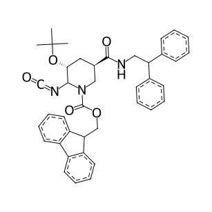 CC(C)(C)O[C@@H]1C[C@@H](C(=O)NCC(c2ccccc2)c2ccccc2)CN(C(=O)OCC2c3ccccc3-c3ccccc32)C1N=C=O